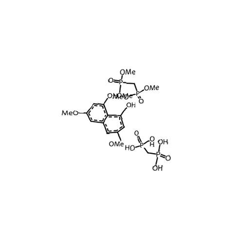 COP(=O)(CP(=O)(OC)OC)OC.COc1cc(O)c2c(O)cc(OC)cc2c1.O=P(O)(O)CP(=O)(O)O